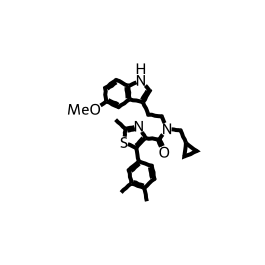 COc1ccc2[nH]cc(CCN(CC3CC3)C(=O)c3nc(C)sc3-c3ccc(C)c(C)c3)c2c1